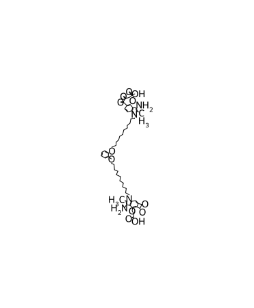 Cc1c(N)c2c3c(ccc2n1CCCCCCCCCCCCOc1ccccc1OCCCCCCCCCCCCn1c(C)c(N)c2c(OCC(=O)O)c4c(=O)c(=O)c4cc21)C(=O)C(=O)C(C(=O)O)O3